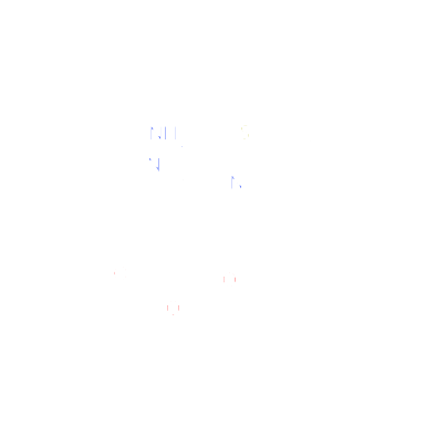 COc1cc(/C(=N/N)c2csc(C3=CC=CCC3)n2)cc(OC)c1OC